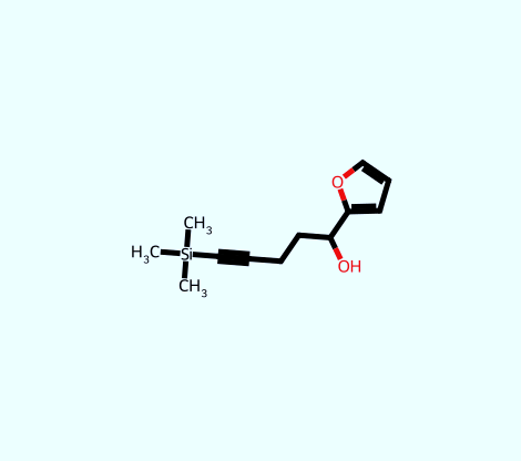 C[Si](C)(C)C#CCCC(O)c1ccco1